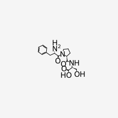 N[C@@H](Cc1ccccc1)C(=O)N1CCC[C@H]1C(=O)N[C@@H](CO)C(=O)O